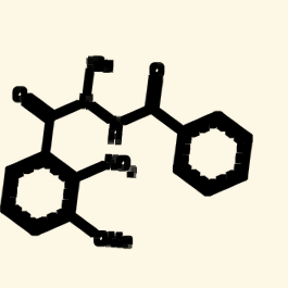 COc1cccc(C(=O)N(NC(=O)c2ccccc2)C(C)(C)C)c1[N+](=O)[O-]